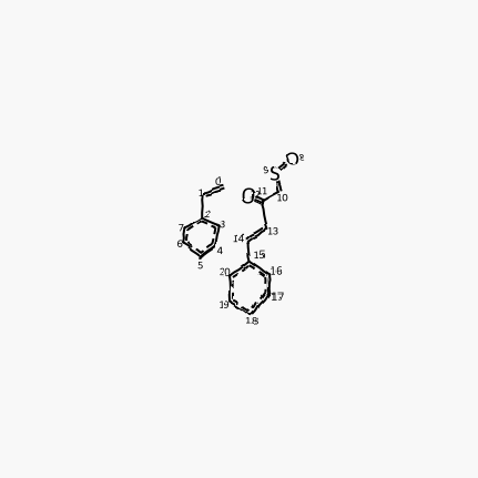 C=Cc1ccccc1.O=S=CC(=O)C=Cc1ccccc1